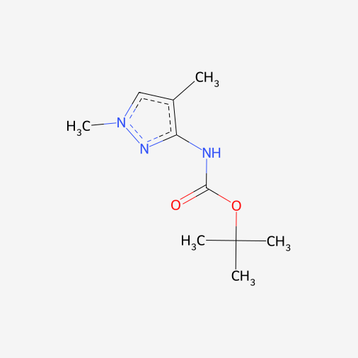 Cc1cn(C)nc1NC(=O)OC(C)(C)C